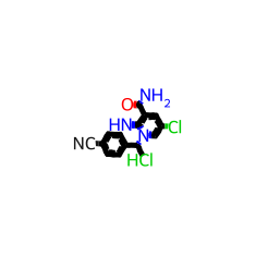 CC(c1ccc(C#N)cc1)n1cc(Cl)cc(C(N)=O)c1=N.Cl